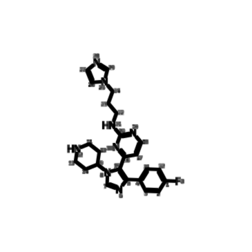 Fc1ccc(-c2ncn(C3CCNCC3)c2-c2ccnc(NCCCn3ccnc3)n2)cc1